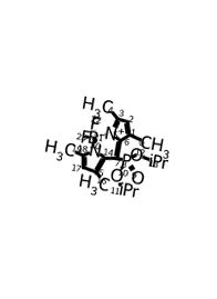 CC1=CC(C)=[N+]2C1=C(P(=O)(OC(C)C)OC(C)C)c1c(C)cc(C)n1[B-]2(F)F